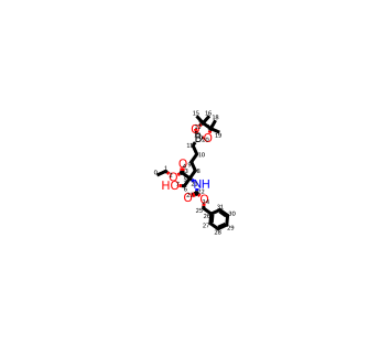 CCOC(=O)C(CO)(CCCCB1OC(C)(C)C(C)(C)O1)NC(=O)OCc1ccccc1